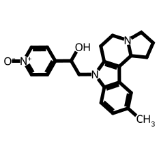 Cc1ccc2c(c1)c1c(n2CC(O)c2cc[n+]([O-])cc2)CCN2CCCC12